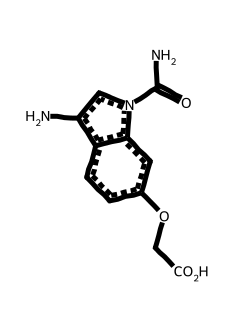 NC(=O)n1cc(N)c2ccc(OCC(=O)O)cc21